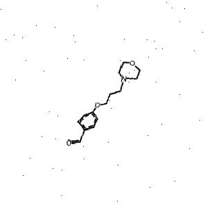 O=Cc1ccc(OCCCN2CCOCC2)cc1